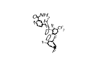 NC(=O)c1cc(NC(=O)c2c(Oc3c(F)cc(F)cc3F)ccc(C(F)(F)F)c2F)ccn1